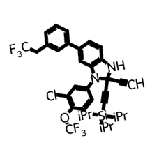 C#CC1(C#C[Si](C(C)C)(C(C)C)C(C)C)Nc2ccc(-c3cccc(CC(F)(F)F)c3)cc2N1c1ccc(OC(F)(F)F)c(Cl)c1